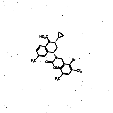 COC(=O)N(Cc1cc(C(F)(F)F)cc(C(F)(F)F)c1Br)[C@H]1C[C@@H](C2CC2)N(C(=O)O)c2ccc(C(F)(F)F)cc21